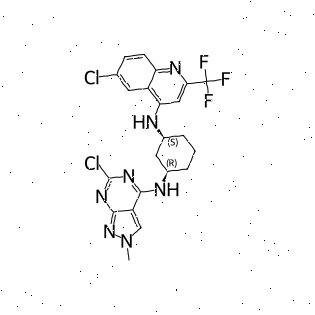 Cn1cc2c(N[C@@H]3CCC[C@H](Nc4cc(C(F)(F)F)nc5ccc(Cl)cc45)C3)nc(Cl)nc2n1